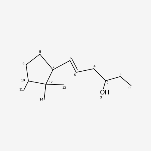 CCC(O)CC=CC1CCC(C)C1(C)C